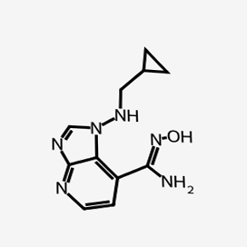 NC(=NO)c1ccnc2ncn(NCC3CC3)c12